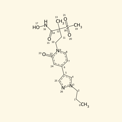 CCCn1cc(-c2ccn(CCC(C)(C(=O)NO)S(C)(=O)=O)c(=O)c2)cn1